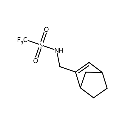 O=S(=O)(NCC1=CC2CCC1C2)C(F)(F)F